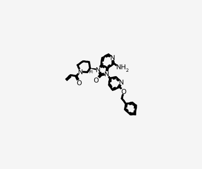 C=CC(=O)N1CCC[C@@H](n2c(=O)n(-c3ccc(OCc4ccccc4)nc3)c3c(N)nccc32)C1